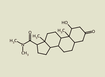 CN(C)C(=O)C1CCC2C3CCC4CC(=O)CC(O)C4(C)C3CCC12C